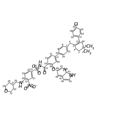 CC1(C)CCC(Cc2ccc(-c3ccc(C(=O)NS(=O)(=O)c4ccc(NCC5CCOCC5)c([N+](=O)[O-])c4)c(Oc4cnc5[nH]ccc5c4)c3)cc2)=C(c2ccc(Cl)cc2)C1